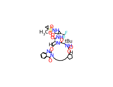 CC(C)(C)[C@@H]1NC(=O)O[C@@H]2CCCC2CCCCCn2c(nc3ccccc3c2=O)O[C@@H]2C[C@@H](C(=O)N[C@]3(C(=O)NS(=O)(=O)C4(C)CC4)C[C@H]3C(F)F)N(C2)C1=O